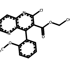 CCOC(=O)c1c(Cl)nc2cccnc2c1-c1ccccc1OC